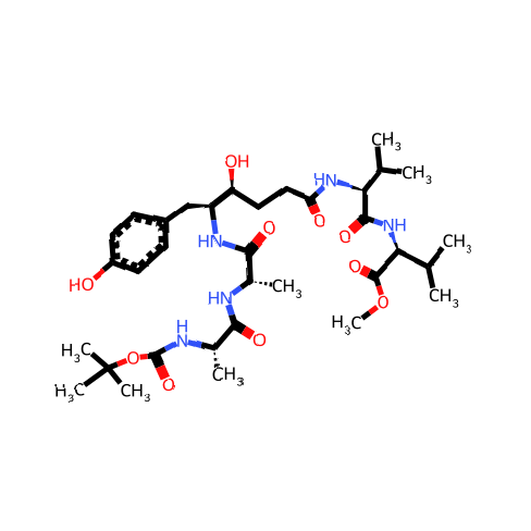 COC(=O)[C@@H](NC(=O)[C@@H](NC(=O)CC[C@H](O)[C@H](Cc1ccc(O)cc1)NC(=O)[C@H](C)NC(=O)[C@H](C)NC(=O)OC(C)(C)C)C(C)C)C(C)C